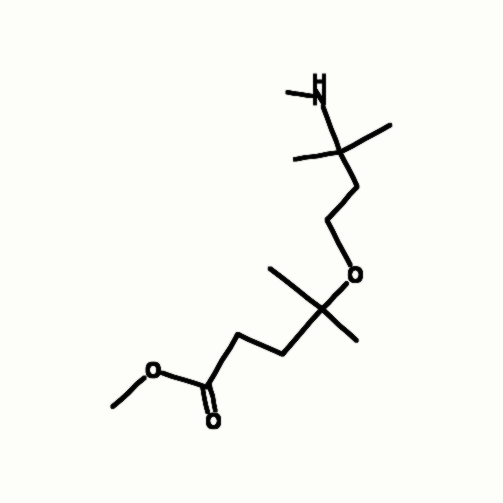 CNC(C)(C)CCOC(C)(C)CCC(=O)OC